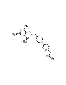 CCCCNc1nc(N)nc(C)c1CCCN1CCN(c2ccc(CNC(C)C)cc2)CC1